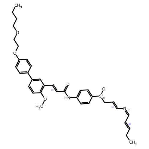 CC/C=C/C=N\C=C\C[S@+]([O-])c1ccc(NC(=O)/C=C/c2cc(-c3ccc(OCCOCCCC)cc3)ccc2OC)cc1